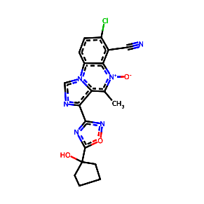 Cc1c2c(-c3noc(C4(O)CCCC4)n3)ncn2c2ccc(Cl)c(C#N)c2[n+]1[O-]